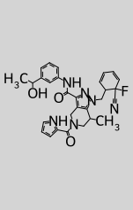 CC(O)c1cccc(NC(=O)c2nn(CC3C=CC=CC3(F)C#N)c3c2CN(C(=O)c2ccc[nH]2)CC3C)c1